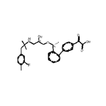 Cc1ccc(CC(C)(C)NC[C@@H](O)CO[C@H](C)c2ccccc2-c2ccc(C(=O)C(=O)O)cc2)cc1F